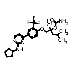 CC(C)CC(C)(COc1ccc(-c2ccnc(NC3CCCC3)n2)cc1C(F)(F)F)OC(N)=O